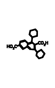 O=C(O)c1ccc2c(C3CCCCC3)c(C(=O)O)c(C3CCCCC3)cc2c1